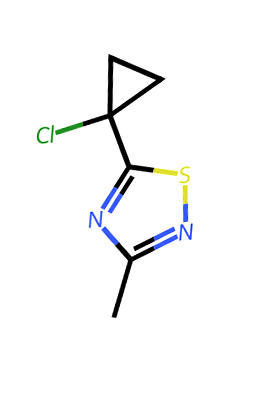 Cc1nsc(C2(Cl)CC2)n1